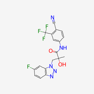 CC(O)(Cn1nnc2ccc(F)cc21)C(=O)Nc1ccc(C#N)c(C(F)(F)F)c1